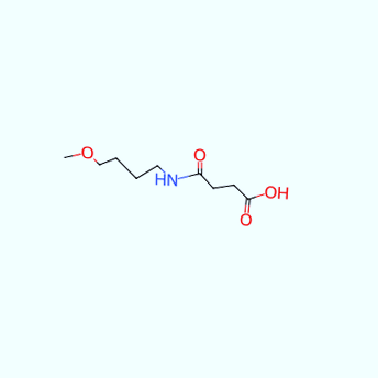 COCCCCNC(=O)CCC(=O)O